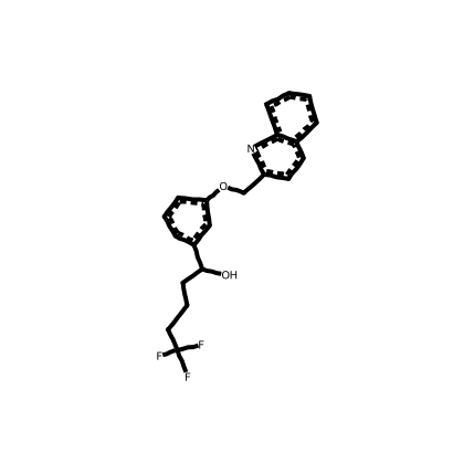 OC(CCCC(F)(F)F)c1cccc(OCc2ccc3ccccc3n2)c1